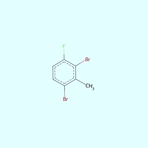 Cc1c(Br)ccc(F)c1Br